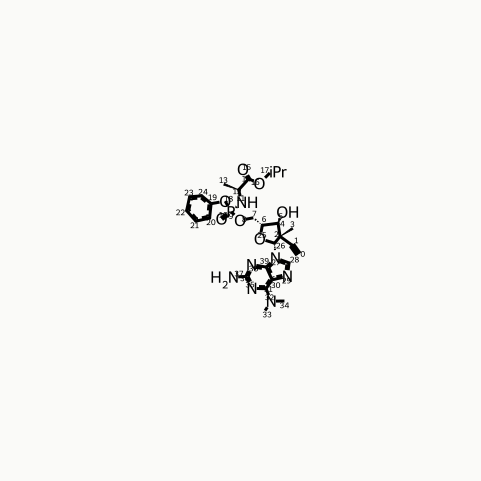 C#C[C@@]1(C)[C@H](O)[C@@H](CO[P@@](=O)(N[C@@H](C)C(=O)OC(C)C)Oc2ccccc2)O[C@H]1n1cnc2c(N(C)C)nc(N)nc21